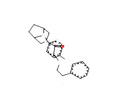 C[C@H](COCC(=O)N1CC2CCC(C1)N2c1ccc(C#N)cn1)c1ccccc1